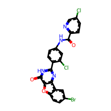 O=C(Nc1ccc(-c2nc3c(oc4ccc(Br)cc43)c(=O)[nH]2)c(Cl)c1)c1ccc(Cl)cn1